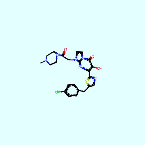 CN1CCN(C(=O)Cn2ccn3c(=O)c(O)c(-c4ncc(Cc5ccc(Cl)cc5)s4)nc23)CC1